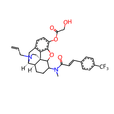 C=CCN1CC[C@]23c4c5ccc(OC(=O)CO)c4OC2C(N(C)C(=O)/C=C/c2ccc(C(F)(F)F)cc2)CC[C@H]3[C@H]1C5